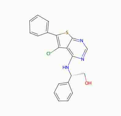 OC[C@@H](Nc1ncnc2sc(-c3ccccc3)c(Cl)c12)c1ccccc1